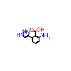 Nc1cccc(-c2c[nH]nn2)c1C(=O)O